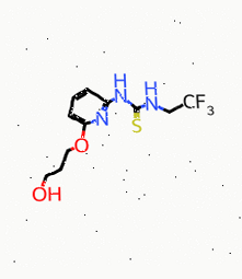 OCCCOc1cccc(NC(=S)NCC(F)(F)F)n1